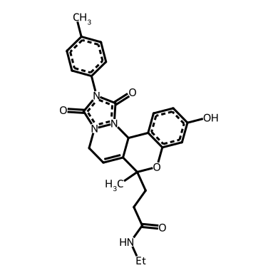 CCNC(=O)CCC1(C)Oc2cc(O)ccc2C2C1=CCn1c(=O)n(-c3ccc(C)cc3)c(=O)n12